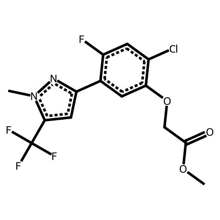 COC(=O)COc1cc(-c2cc(C(F)(F)F)n(C)n2)c(F)cc1Cl